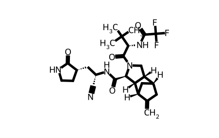 C=C1C[C@@H]2C[C@H]1[C@H]1[C@@H]2CN(C(=O)[C@@H](NC(=O)C(F)(F)F)C(C)(C)C)[C@@H]1C(=O)N[C@H](C#N)C[C@@H]1CCNC1=O